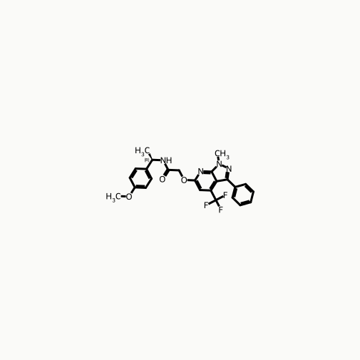 COc1ccc([C@@H](C)NC(=O)COc2cc(C(F)(F)F)c3c(-c4ccccc4)nn(C)c3n2)cc1